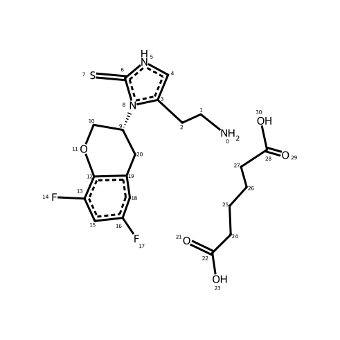 NCCc1c[nH]c(=S)n1[C@H]1COc2c(F)cc(F)cc2C1.O=C(O)CCCCC(=O)O